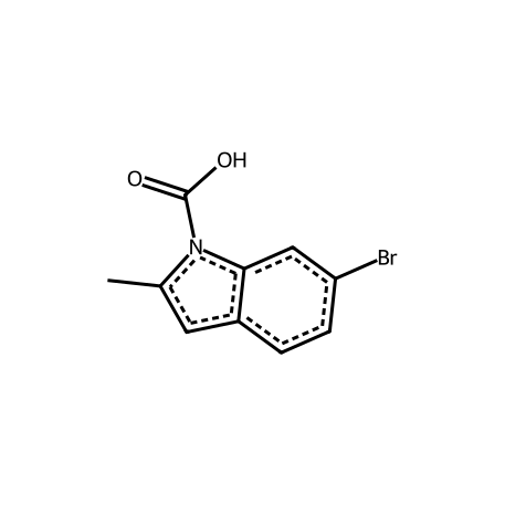 Cc1cc2ccc(Br)cc2n1C(=O)O